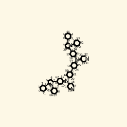 c1ccc(-c2ccc(-c3ccc(N(c4ccncc4)c4ccc(-c5ccc(N(c6ccncc6)c6ccc(-c7ccc(-c8ccccc8)n7-c7ccccc7)cc6)cc5)cc4)cc3)n2-c2ccccc2)cc1